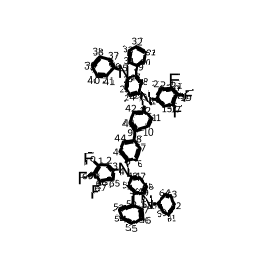 Fc1cc(N(c2ccc(-c3ccc(N(c4cc(F)c(F)c(F)c4)c4ccc5c(c4)c4ccccc4n5-c4ccccc4)cc3)cc2)c2ccc3c(c2)c2ccccc2n3-c2ccccc2)cc(F)c1F